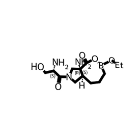 CCOB1CCC[C@H]2CN(C(=O)[C@@H](N)CO)C[C@@]2(N)C(=O)O1